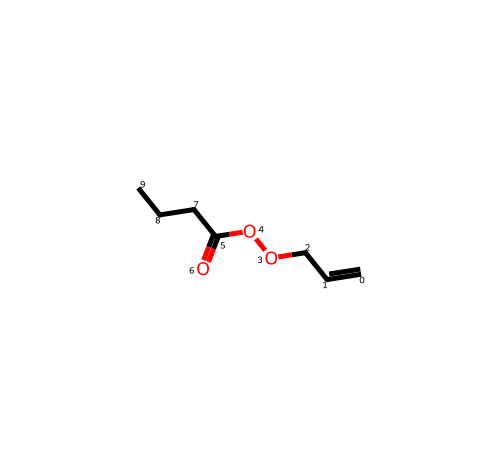 C=CCOOC(=O)CCC